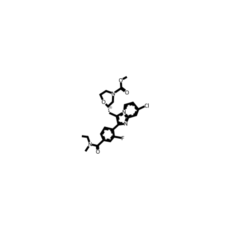 CCN(C)C(=O)c1ccc(-c2nc3cc(Cl)ccn3c2C[C@H]2CN(C(=O)OC)CCO2)c(F)c1